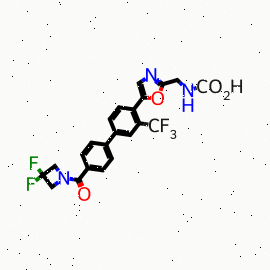 O=C(O)NCc1ncc(-c2ccc(-c3ccc(C(=O)N4CC(F)(F)C4)cc3)cc2C(F)(F)F)o1